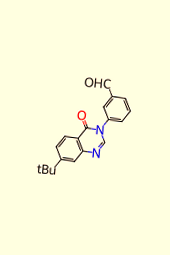 CC(C)(C)c1ccc2c(=O)n(-c3cccc(C=O)c3)cnc2c1